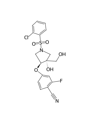 N#Cc1ccc(O[C@H]2CN(S(=O)(=O)c3ccccc3Cl)C[C@@]2(O)CO)cc1F